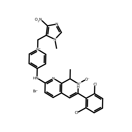 CC1c2nc(Nc3cc[n+](Cc4c([N+](=O)[O-])ncn4C)cc3)ccc2C=C(c2c(Cl)cccc2Cl)[NH+]1[O-].[Br-]